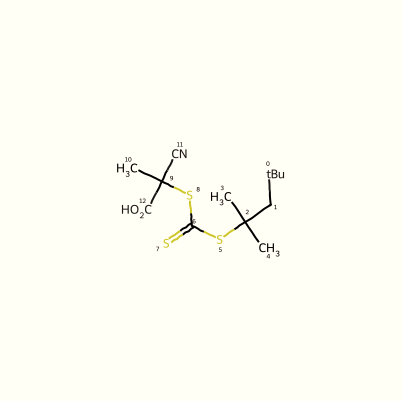 CC(C)(C)CC(C)(C)SC(=S)SC(C)(C#N)C(=O)O